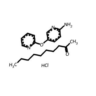 CCCCCCCCC(C)=O.Cl.Nc1ccc(Oc2ccccn2)cn1